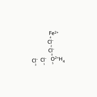 [Cl-].[Cl-].[Cl-].[Cl-].[Fe+2].[OH4+2]